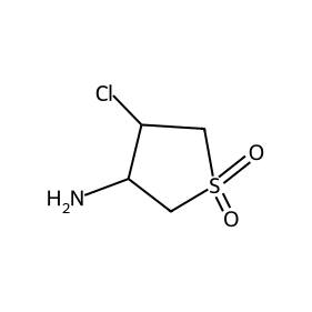 NC1CS(=O)(=O)CC1Cl